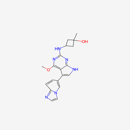 COc1nc(NC2CC(C)(O)C2)nc2[nH]cc(-c3ccc4nccn4c3)c12